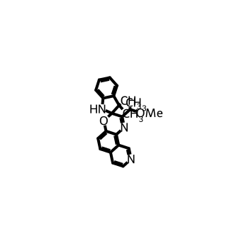 COC(C)C1=Nc2c(ccc3ccncc23)OC12Nc1ccccc1C2(C)C